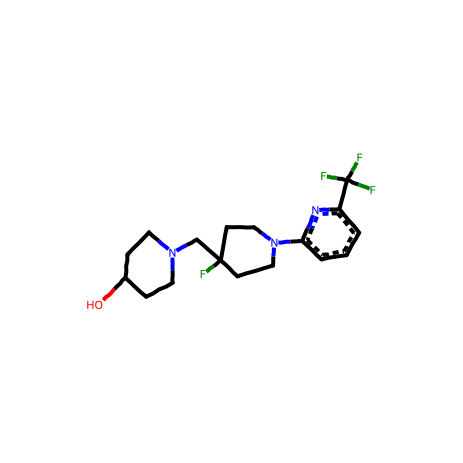 OC1CCN(CC2(F)CCN(c3cccc(C(F)(F)F)n3)CC2)CC1